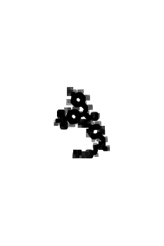 COCCN(C)Cc1cnc(NC(=O)C(Cc2ccc(F)cc2)c2ccc(S(C)(=O)=O)cc2)cn1